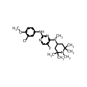 COc1ccc(Nc2ncc(F)c(N(C)C3CC(C)(C)N(C)C(C)(C)C3)n2)cc1Cl